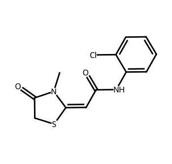 CN1C(=O)CSC1=CC(=O)Nc1ccccc1Cl